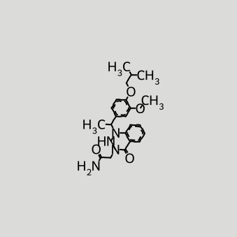 COc1cc(C(C)N2NN(CC(N)=O)C(=O)c3ccccc32)ccc1OCC(C)C